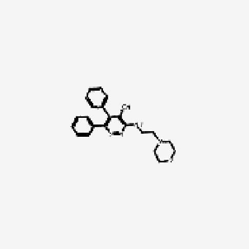 N#Cc1c(NCCN2CCOCC2)nnc(-c2ccccc2)c1-c1ccccc1